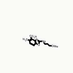 COCCCNc1nc2c(C(=O)O)c(C)ccc2o1